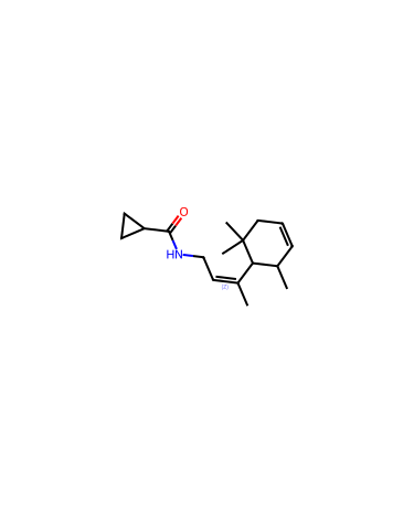 C/C(=C/CNC(=O)C1CC1)C1C(C)C=CCC1(C)C